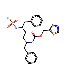 CC(C)S(=O)(=O)N[C@H](CC[C@H](Cc1ccccc1)NC(=O)OCc1cncs1)Cc1ccccc1